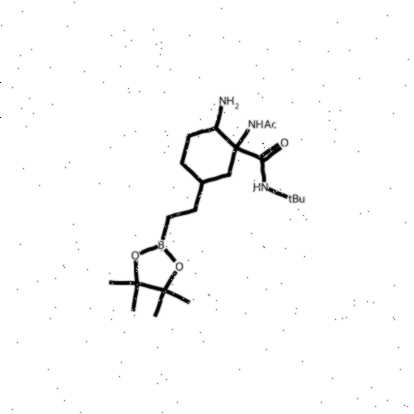 CC(=O)NC1(C(=O)NC(C)(C)C)CC(CCB2OC(C)(C)C(C)(C)O2)CCC1N